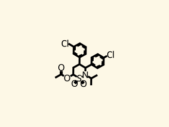 CC(=O)OC1CC(c2cccc(Cl)c2)C(c2ccc(Cl)cc2)N(C(C)C)S1(=O)=O